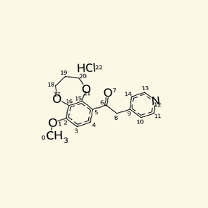 COc1ccc(C(=O)Cc2ccncc2)c2c1OCCCO2.Cl